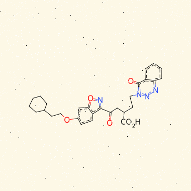 O=C(CC(CCn1nnc2ccccc2c1=O)C(=O)O)c1noc2cc(OCCC3CCCCC3)ccc12